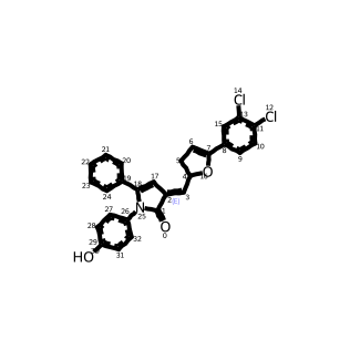 O=C1/C(=C/C2CC=C(c3ccc(Cl)c(Cl)c3)O2)C=C(c2ccccc2)N1c1ccc(O)cc1